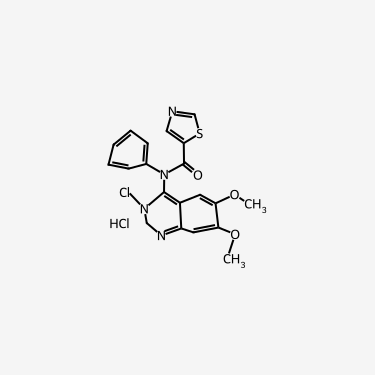 COc1cc2c(cc1OC)=C(N(C(=O)c1cncs1)c1ccccc1)N(Cl)CN=2.Cl